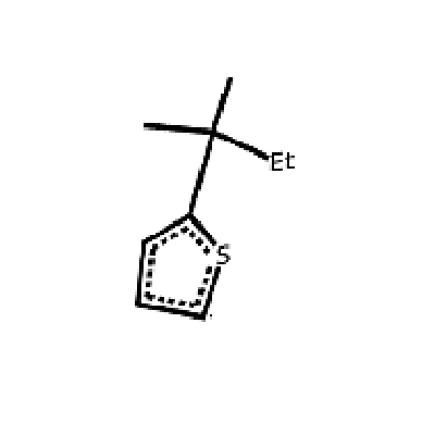 CCC(C)(C)c1cc[c]s1